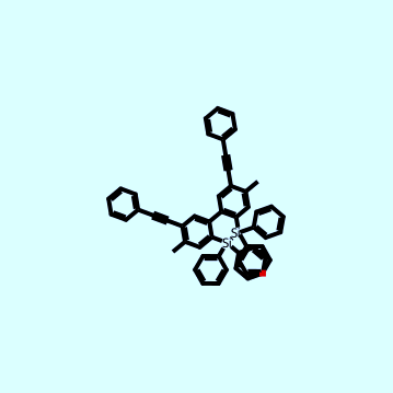 Cc1cc2c(cc1C#Cc1ccccc1)-c1cc(C#Cc3ccccc3)c(C)cc1[Si](c1ccccc1)(c1ccccc1)[Si]2(c1ccccc1)c1ccccc1